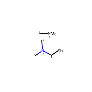 CCCCN(C)C.CNC